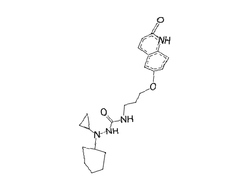 O=C(NCCCOc1ccc2[nH]c(=O)ccc2c1)NN(C1CCCCC1)C1CC1